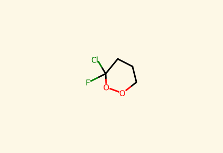 FC1(Cl)CCCOO1